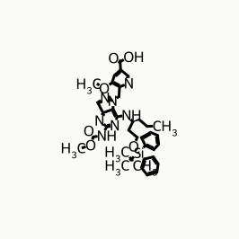 CCC[C@@H](CCO[Si](c1ccccc1)(c1ccccc1)C(C)(C)C)Nc1nc(NC(=O)OC)nc2cnn(Cc3ncc(C(=O)O)cc3OC)c12